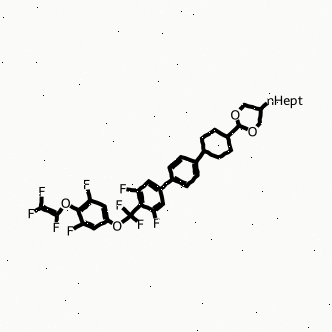 CCCCCCCC1COC(C2CCC(c3ccc(-c4cc(F)c(C(F)(F)Oc5cc(F)c(OC(F)=C(F)F)c(F)c5)c(F)c4)cc3)CC2)OC1